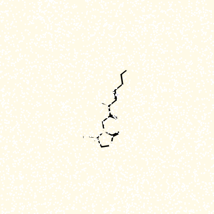 CC(C)[C@@H]1CSC(=S)N1CC(=O)[C@@H](O)/C=C/CCCl